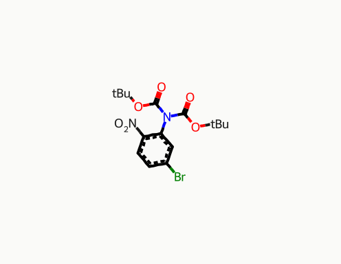 CC(C)(C)OC(=O)N(C(=O)OC(C)(C)C)c1cc(Br)ccc1[N+](=O)[O-]